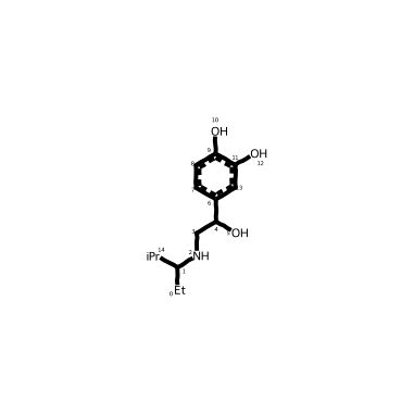 CCC(NCC(O)c1ccc(O)c(O)c1)C(C)C